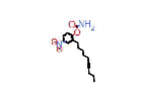 CCCC#CCCCCCc1cc([N+](=O)[O-])ccc1OC(N)=O